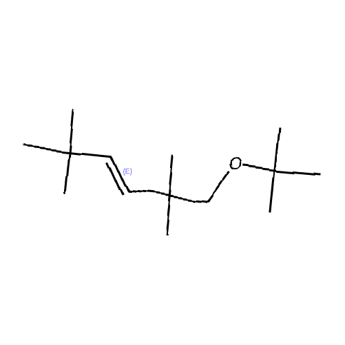 CC(C)(C)/C=C/C(C)(C)COC(C)(C)C